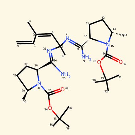 C=CC(C)=CC(C)(/N=C(\N)[C@@H]1CC[C@H](C)N1C(=O)OC(C)(C)C)/N=C(\N)[C@@H]1CC[C@H](C)N1C(=O)OC(C)(C)C